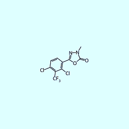 Cn1nc(-c2ccc(Cl)c(C(F)(F)F)c2Cl)oc1=O